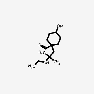 CCNC(C)(C)CC1(C=O)CCC(O)CC1